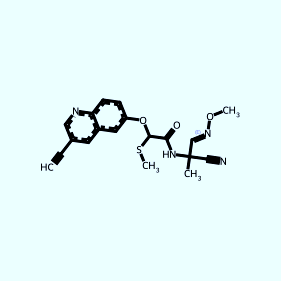 C#Cc1cnc2ccc(OC(SC)C(=O)NC(C)(C#N)/C=N/OC)cc2c1